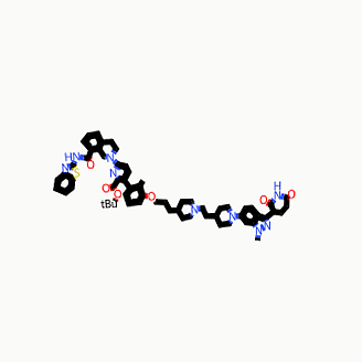 Cc1c(OCCCC2CCN(CCC3CCN(c4ccc5c(C6CCC(=O)NC6=O)nn(C)c5c4)CC3)CC2)cccc1-c1ccc(N2CCc3cccc(C(=O)Nc4nc5ccccc5s4)c3C2)nc1C(=O)OC(C)(C)C